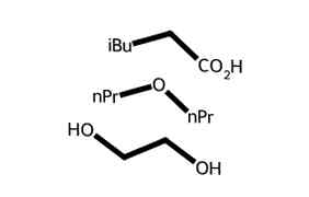 CCC(C)CC(=O)O.CCCOCCC.OCCO